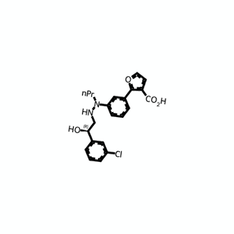 CCCN(NC[C@H](O)c1cccc(Cl)c1)c1cccc(-c2occc2C(=O)O)c1